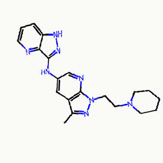 Cc1nn(CCN2CCCCC2)c2ncc(Nc3n[nH]c4cccnc34)cc12